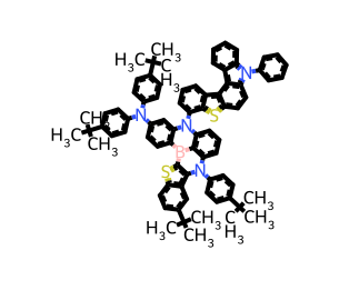 CC(C)(C)c1ccc(N(c2ccc(C(C)(C)C)cc2)c2ccc3c(c2)N(c2cccc4c2sc2ccc5c(c6ccccc6n5-c5ccccc5)c24)c2cccc4c2B3c2sc3ccc(C(C)(C)C)cc3c2N4c2ccc(C(C)(C)C)cc2)cc1